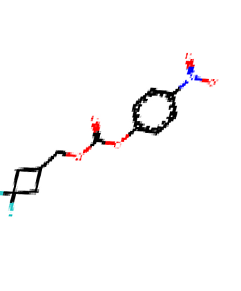 O=C(OCC1CC(F)(F)C1)Oc1ccc([N+](=O)[O-])cc1